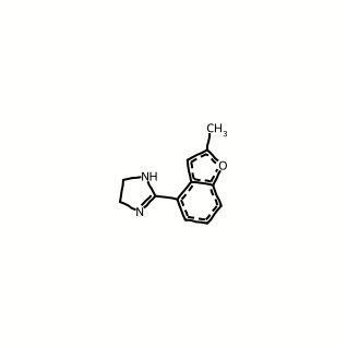 Cc1cc2c(C3=NCCN3)cccc2o1